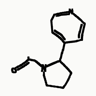 O=[C]N1CCCC1c1ccncc1